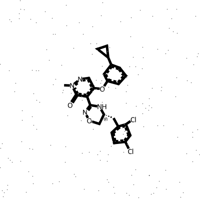 Cn1ncc(Oc2cccc(C3CC3)c2)c(C2=NOC[C@@H](Cc3ccc(Cl)cc3Cl)N2)c1=O